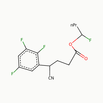 CCCC(F)OC(=O)CCC(C#N)c1cc(F)cc(F)c1F